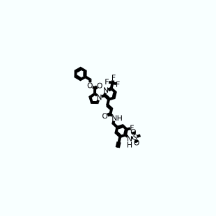 C#Cc1cc(CNC(=O)/C=C/c2ccc(C(F)(F)F)nc2N2CCCC2C(=O)OCc2ccccc2)cc(F)c1NS(C)(=O)=O